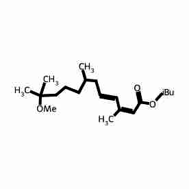 CCC(C)OC(=O)C=C(C)C=CCC(C)CCCC(C)(C)OC